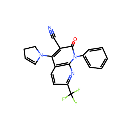 N#Cc1c(N2C=CCC2)c2ccc(C(F)(F)F)nc2n(-c2ccccc2)c1=O